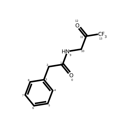 O=C(Cc1ccccc1)NCC(=O)C(F)(F)F